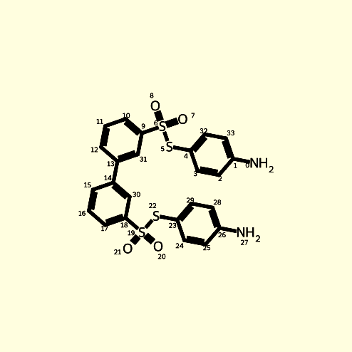 Nc1ccc(SS(=O)(=O)c2cccc(-c3cccc(S(=O)(=O)Sc4ccc(N)cc4)c3)c2)cc1